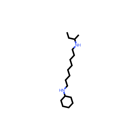 CCC(C)NCCCCCCCCNC1CCCCC1